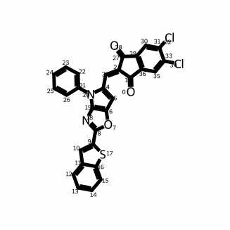 O=C1C(=Cc2cc3oc(-c4cc5ccccc5s4)nc3n2-c2ccccc2)C(=O)c2cc(Cl)c(Cl)cc21